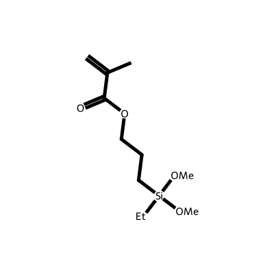 C=C(C)C(=O)OCCC[Si](CC)(OC)OC